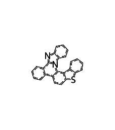 c1ccc2c(c1)nc1c3ccccc3c3ccc4sc5ccccc5c4c3n21